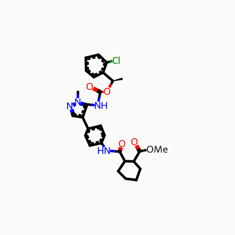 COC(=O)C1CCCCC1C(=O)Nc1ccc(-c2cnn(C)c2NC(=O)O[C@H](C)c2ccccc2Cl)cc1